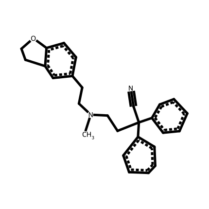 CN(CCc1ccc2c(c1)CCO2)CCC(C#N)(c1ccccc1)c1ccccc1